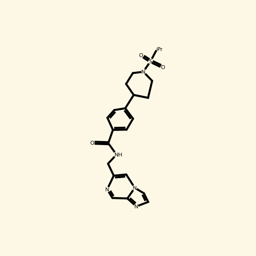 CC(C)S(=O)(=O)N1CCC(c2ccc(C(=O)NCc3cn4ccnc4cn3)cc2)CC1